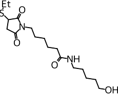 CCSC1CC(=O)N(CCCCCC(=O)NCCCCCO)C1=O